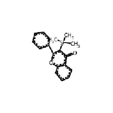 C[Si](C)(C)c1c(-c2ccccc2)oc2ccccc2c1=O